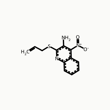 C=CCSc1nc2ccccc2c([N+](=O)[O-])c1N